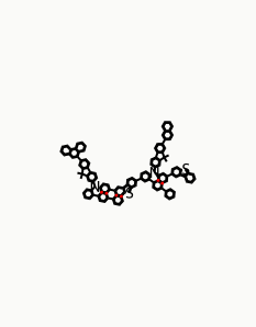 CC1(C)c2cc(-c3ccc4ccccc4c3)ccc2-c2ccc(N(c3cccc(-c4ccc5sc6ccccc6c5c4)c3)c3ccc(-c4ccc5c(c4)sc4ccc(-c6ccc(N(c7ccc8c(c7)C(C)(C)c7cc(-c9cc%10ccccc%10c%10ccccc9%10)ccc7-8)c7ccccc7-c7ccc(-c8ccccc8)cc7)cc6)cc45)cc3-c3ccc(-c4ccccc4)cc3)cc21